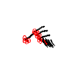 CCCCCCCCCC(C(=O)[O-])C(=O)[O-].CCCCCCCCCC(C(=O)[O-])C(=O)[O-].CCCCCCCCCC(C(=O)[O-])C(=O)[O-].CCCCCCCCCC(C(=O)[O-])C(=O)[O-].[Na+].[Na+].[Na+].[Na+].[Na+].[Na+].[Na+].[Na+]